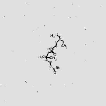 CCN(CC)CCNC(=O)CC(C)(C)CCO[N+](=O)[O-]